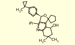 CC(C)c1nc2c(c3c1[C@@H](c1ccc(C4(C)CC4)cc1)OC31CCCC1)[C@@H](O)CC(C)(C)C2